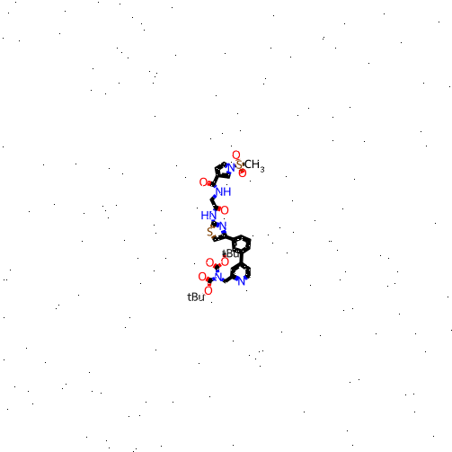 CC(C)(C)OC(=O)N(Cc1cc(-c2cccc(-c3csc(NC(=O)CNC(=O)c4ccn(S(C)(=O)=O)c4)n3)c2)ccn1)C(=O)OC(C)(C)C